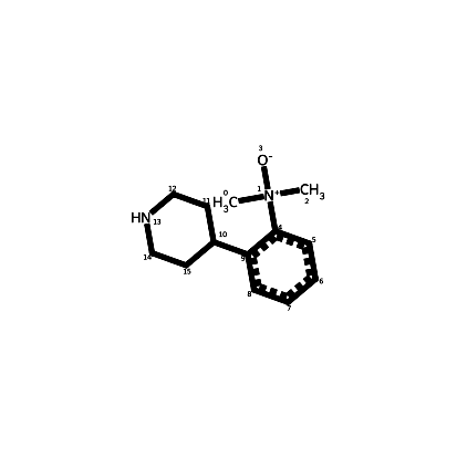 C[N+](C)([O-])c1ccccc1C1CCNCC1